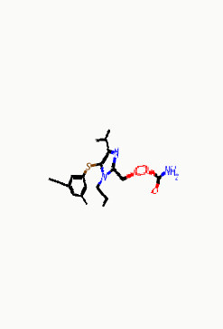 CCCn1c(COC(N)=O)nc(C(C)C)c1Sc1cc(C)cc(C)c1